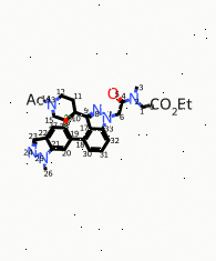 CCOC(=O)CN(C)C(=O)Cn1nc(C2CCN(C(C)=O)CC2)c2c(-c3cc4c(cnn4C)cc3F)cccc21